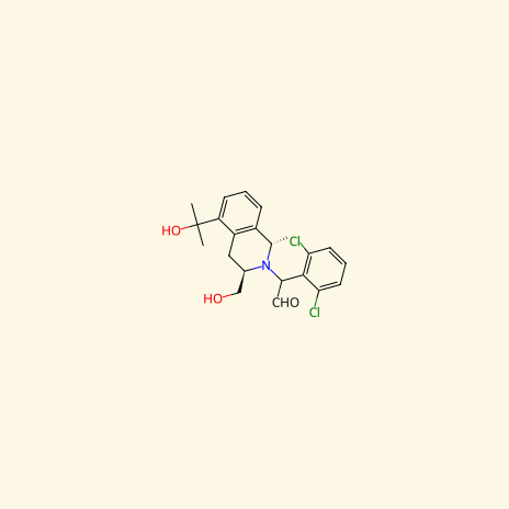 C[C@H]1c2cccc(C(C)(C)O)c2C[C@H](CO)N1C(C=O)c1c(Cl)cccc1Cl